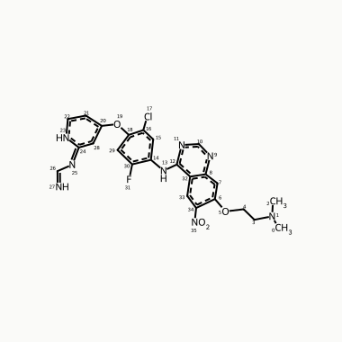 CN(C)CCOc1cc2ncnc(Nc3cc(Cl)c(Oc4cc[nH]/c(=N\C=N)c4)cc3F)c2cc1[N+](=O)[O-]